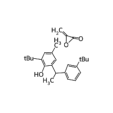 C=C1OC1=O.Cc1cc(C(C)c2cccc(C(C)(C)C)c2)c(O)c(C(C)(C)C)c1